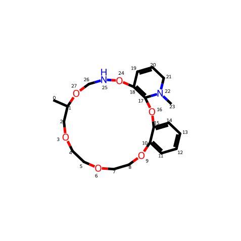 CC1COCCOCCOc2ccccc2OC2=C(C=CCN2C)ONCO1